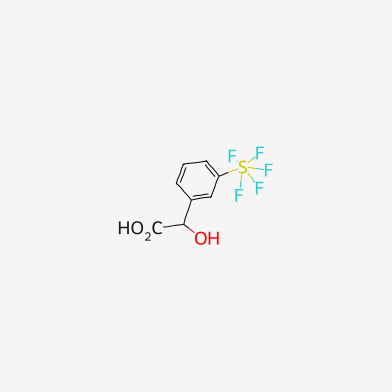 O=C(O)C(O)c1cccc(S(F)(F)(F)(F)F)c1